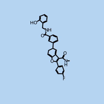 CNC(=O)c1c(-c2ccc(F)cc2)oc2c1=CC(c1cccc(C(=O)NCc3ccccc3O)c1)CC=2